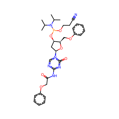 CC(C)N(C(C)C)P(OCCC#N)O[C@@H]1C[C@H](n2cnc(NC(=O)COc3ccccc3)nc2=O)O[C@@H]1COc1ccccc1